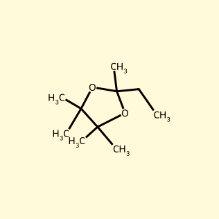 CCC1(C)OC(C)(C)C(C)(C)O1